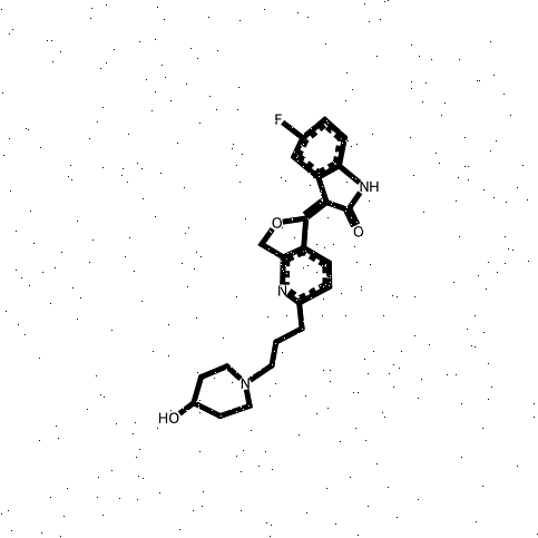 O=C1Nc2ccc(F)cc2C1=C1OCc2nc(CCCN3CCC(O)CC3)ccc21